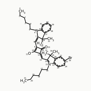 CCCCCCN1/C(=C/C2=C([O-])C(=C/C3=[N+](CCCCCC)c4ccc(Br)cc4C3(C)C)/C2=O)C(C)(C)c2ccccc21